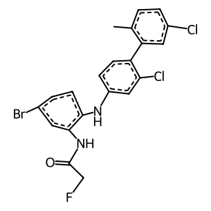 Cc1ccc(Cl)cc1-c1ccc(Nc2ccc(Br)cc2NC(=O)CF)cc1Cl